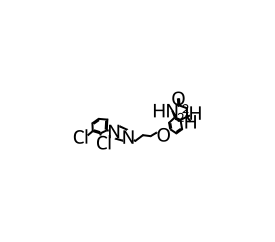 [2H]C1([2H])CC(=O)Nc2cc(OCCCCN3CCN(c4cccc(Cl)c4Cl)CC3)ccc21